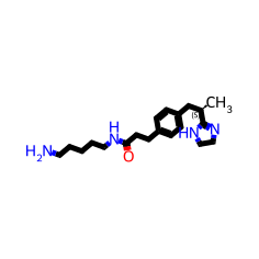 C[C@@H](Cc1ccc(CCC(=O)NCCCCCN)cc1)C1=NCCN1